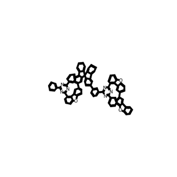 c1ccc(-c2nc(-c3ccccc3)nc(-c3cccc4oc5ccc(-c6ccc7c(c6)C6(c8ccccc8-c8cc(-c9cccc(-c%10nc(-c%11ccccc%11)nc(-c%11cccc%12oc%13ccc(-c%14ccc%15oc%16ccccc%16c%15c%14)cc%13c%11%12)n%10)c9)ccc86)c6ccccc6-7)cc5c34)n2)cc1